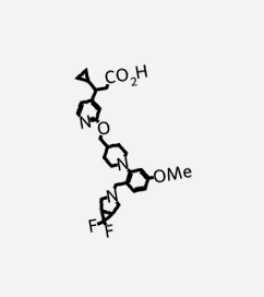 COc1ccc(CN2CC3C(C2)C3(F)F)c(N2CCC(COc3cc(C(CC(=O)O)C4CC4)ccn3)CC2)c1